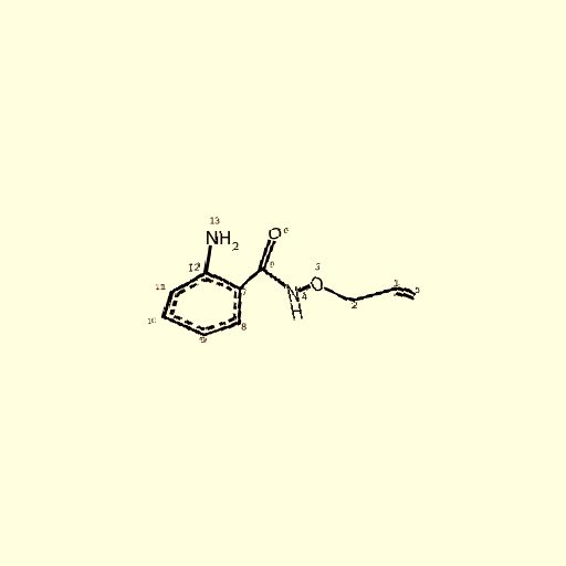 C=CCONC(=O)c1ccccc1N